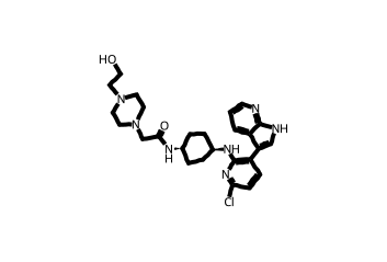 O=C(CN1CCN(CCO)CC1)N[C@H]1CC[C@H](Nc2nc(Cl)ccc2-c2c[nH]c3ncccc23)CC1